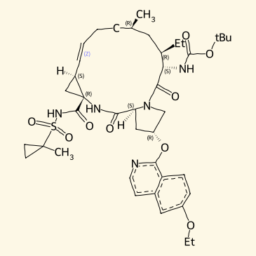 CCOc1ccc2c(O[C@@H]3C[C@H]4C(=O)N[C@]5(C(=O)NS(=O)(=O)C6(C)CC6)C[C@H]5/C=C\CC[C@@H](C)C[C@@H](CC)[C@H](NC(=O)OC(C)(C)C)C(=O)N4C3)nccc2c1